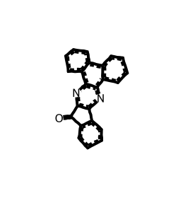 O=C1c2ccccc2-c2nc3c4ccccc4c4ccccc4c3nc21